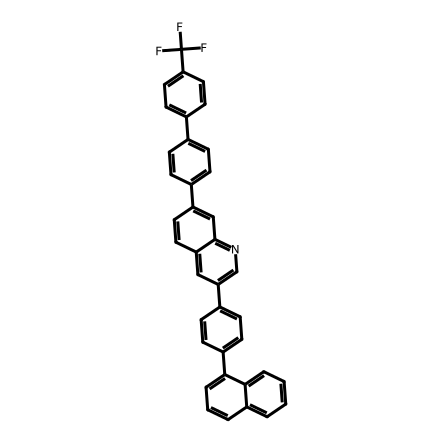 FC(F)(F)c1ccc(-c2ccc(-c3ccc4cc(-c5ccc(-c6cccc7ccccc67)cc5)cnc4c3)cc2)cc1